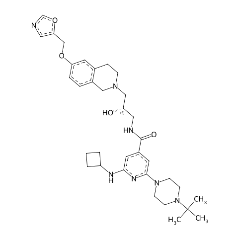 CC(C)(C)N1CCN(c2cc(C(=O)NC[C@H](O)CN3CCc4cc(OCc5cnco5)ccc4C3)cc(NC3CCC3)n2)CC1